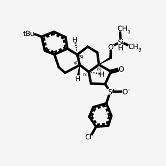 C[SiH](C)OC[C@]12CC[C@@H]3c4ccc(C(C)(C)C)cc4CC[C@H]3[C@@H]1CC([S+]([O-])c1ccc(Cl)cc1)C2=O